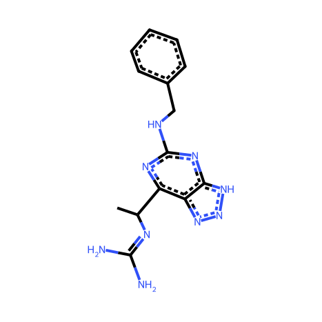 CC(N=C(N)N)c1nc(NCc2ccccc2)nc2[nH]nnc12